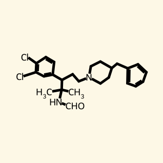 CC(C)(NC=O)C(CCN1CCC(Cc2ccccc2)CC1)c1ccc(Cl)c(Cl)c1